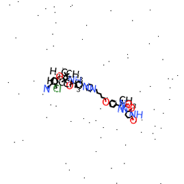 Cn1c(-c2ccc(OCCCCCN3CCN(c4ccc(C(=O)N[C@H]5C(C)(C)[C@H](Oc6ccc(C#N)c(Cl)c6)C5(C)C)cc4)CC3)cc2)nn(C2CCC(=O)NC2=O)c1=O